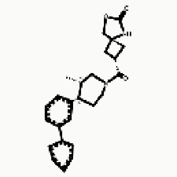 C[C@@H]1CN(C(=O)[C@H]2C[C@]3(COC(=O)N3)C2)CC[C@@H]1c1cccc(-c2ccccc2)c1